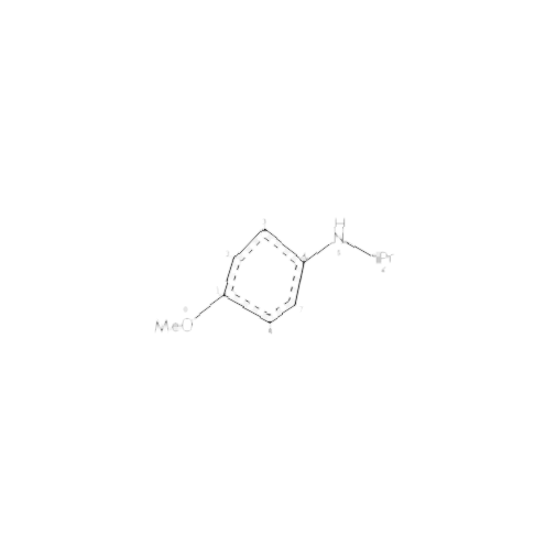 [CH2]Oc1ccc(NC(C)C)cc1